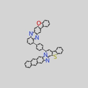 c1ccc2cc3cc4c(cc3cc2c1)nc1c2sc3ccccc3c2cc(-c2ccc(-c3cccc5nc6cc7oc8ccccc8c7cc6nc35)cc2)n41